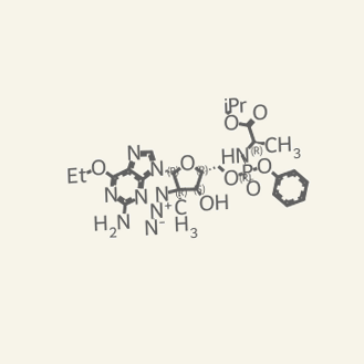 CCOc1nc(N)nc2c1ncn2[C@@H]1O[C@H](CO[P@](=O)(N[C@H](C)C(=O)OC(C)C)Oc2ccccc2)[C@@H](O)[C@@]1(C)N=[N+]=[N-]